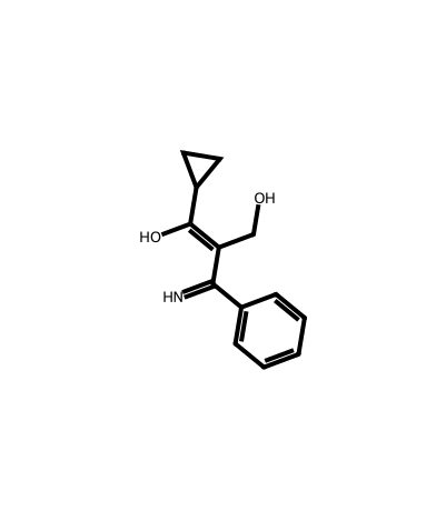 N=C(/C(CO)=C(\O)C1CC1)c1ccccc1